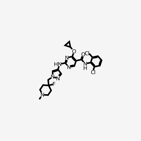 CN1CCC(F)(Cn2cc(Nc3ncc(C(=O)Nc4c(Cl)cccc4Cl)c(OC4CC4)n3)cn2)CC1